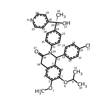 COc1cc2c(cc1OC(C)C)C(c1ccc(Cl)cc1)N(c1ccc([C@](C)(O)c3ccncc3)cc1)C(=O)C2